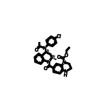 CCOC(=O)N1CCNc2ccc(C(=O)N3c4ccccc4[C@H](N(C(C)=O)c4ccc(Cl)cc4)C[C@@H]3C)cc21